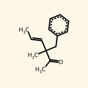 CC=CC(C)(Cc1ccccc1)C(C)=O